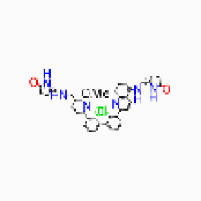 COc1nc(-c2cccc(-c3cccc(-c4ccc5c(n4)CCC[C@H]5NC[C@H]4CCC(=O)N4)c3Cl)c2Cl)ccc1CNC[C@@H]1CCC(=O)N1